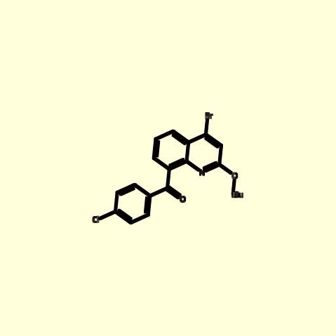 CC(C)(C)Oc1cc(Br)c2cccc(C(=O)c3ccc(Cl)cc3)c2n1